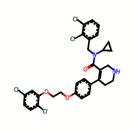 O=C(C1=C(c2ccc(OCCOc3cc(Cl)ccc3Cl)cc2)CCNC1)N(Cc1cccc(Cl)c1Cl)C1CC1